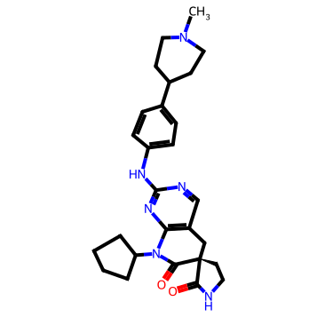 CN1CCC(c2ccc(Nc3ncc4c(n3)N(C3CCCC3)C(=O)[C@]3(CCNC3=O)C4)cc2)CC1